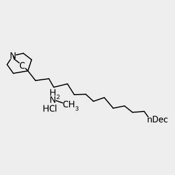 CCCCCCCCCCCCCCCCCCCCCCC12CCN(CC1)CC2.CN.Cl